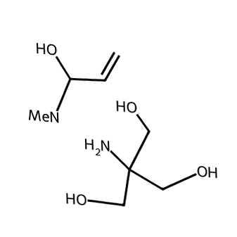 C=CC(O)NC.NC(CO)(CO)CO